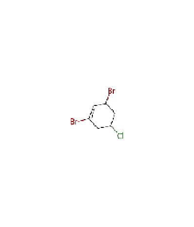 ClC1CC(Br)=CC(Br)C1